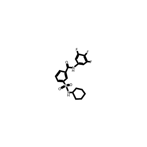 O=C(Nc1cc(F)c(F)c(F)c1)c1cccc(S(=O)(=O)NC2CCCCC2)c1